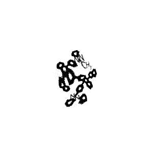 Cc1nc2ccccc2n1-c1ccc(-c2c3ccccc3c(-c3cccc4ccccc34)c3ccc(-c4ccc5c(-c6ccc7ccccc7c6)c6ccccc6c(-c6ccc(-c7nc8ccccc8n7-c7ccccc7)cc6)c5c4)cc23)cc1